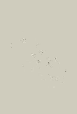 c1ccc(-c2nc(-c3ccc4c5ccccc5n(-c5ccccc5)c4c3)nc(-c3ccccc3-c3ccc4c(c3)-c3ccccc3C43c4ccccc4-c4ccccc43)n2)cc1